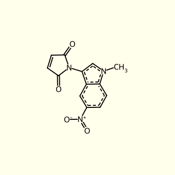 Cn1cc(N2C(=O)C=CC2=O)c2cc([N+](=O)[O-])ccc21